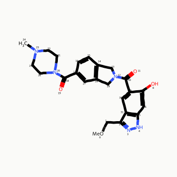 COCc1n[nH]c2cc(O)c(C(=O)N3Cc4ccc(C(=O)N5CCN(C)CC5)cc4C3)cc12